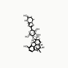 CN1CC[C@]23c4c5ccc(O)c4O[C@H]2[C@](O)(O[C@@H]2[C@@H](O)[C@H](O)C(c4nc6n(n4)CCC(O)N6)O[C@H]2O)C=C[C@H]3[C@H]1C5